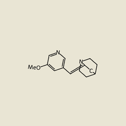 COc1cncc(C=C2CC3CCN2CC3)c1